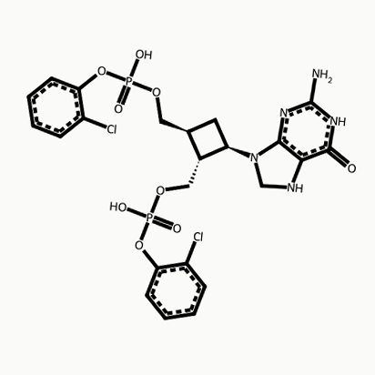 Nc1nc2c(c(=O)[nH]1)NCN2[C@@H]1C[C@H](COP(=O)(O)Oc2ccccc2Cl)[C@H]1COP(=O)(O)Oc1ccccc1Cl